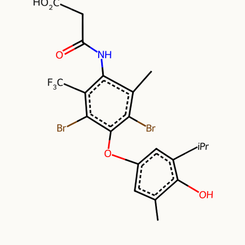 Cc1cc(Oc2c(Br)c(C)c(NC(=O)CC(=O)O)c(C(F)(F)F)c2Br)cc(C(C)C)c1O